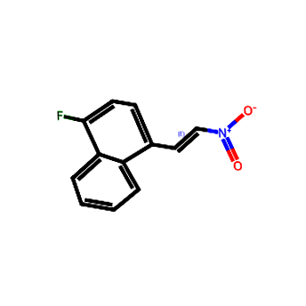 O=[N+]([O-])/C=C/c1ccc(F)c2ccccc12